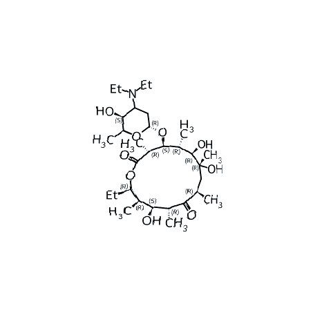 CC[C@H]1OC(=O)[C@H](C)[C@@H](O[C@H]2CC(N(CC)CC)[C@H](O)C(C)O2)[C@H](C)[C@@H](O)[C@](C)(O)C[C@@H](C)C(=O)[C@H](C)[C@@H](O)[C@H]1C